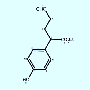 CCOC(=O)C(CCC=O)c1ccc(O)cc1